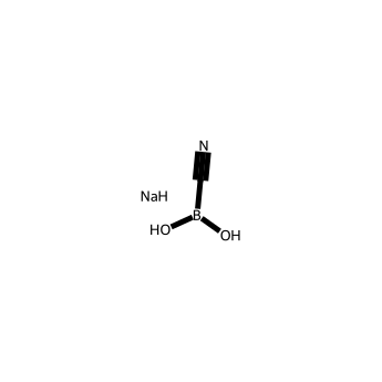 N#CB(O)O.[NaH]